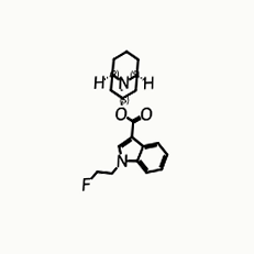 CN1[C@@H]2CCC[C@H]1C[C@H](OC(=O)c1cn(CCF)c3ccccc13)C2